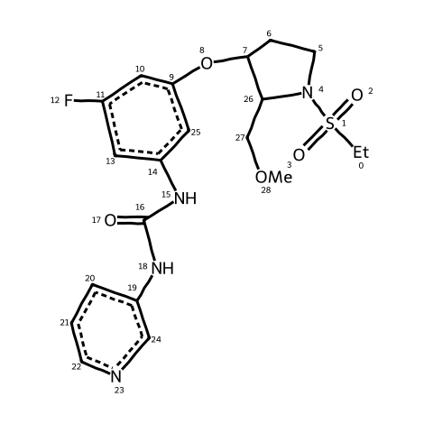 CCS(=O)(=O)N1CCC(Oc2cc(F)cc(NC(=O)Nc3cccnc3)c2)C1COC